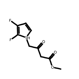 COC(=O)CC(=O)C[SH]1C=CC(F)=C1F